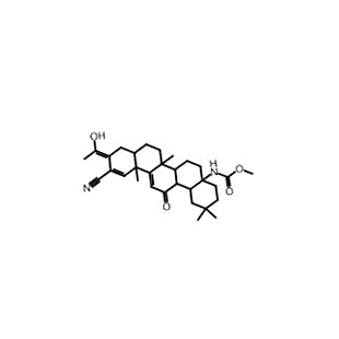 COC(=O)NC12CCC3C(C(=O)C=C4C5(C)C=C(C#N)/C(=C(\C)O)CC5CCC43C)C1CC(C)(C)CC2